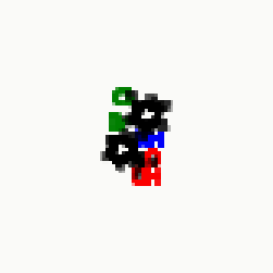 O=C(O)c1ccccc1Nc1cccc(Cl)c1Br